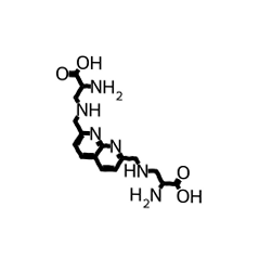 NC(CNCc1ccc2ccc(CNCC(N)C(=O)O)nc2n1)C(=O)O